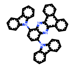 c1ccc2c(c1)c1ccccc1c1nc3c(-n4c5ccccc5c5ccccc54)ccc(-n4c5ccccc5c5ccccc54)c3nc21